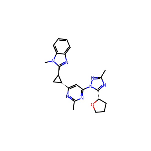 Cc1nc([C@@H]2C[C@H]2c2nc3ccccc3n2C)cc(-n2nc(C)nc2[C@@H]2CCCO2)n1